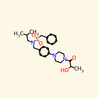 CC(C)CN(Cc1ccc(N2CCN(C(=O)C(C)O)CC2)cc1)S(=O)(=O)Cc1ccccc1